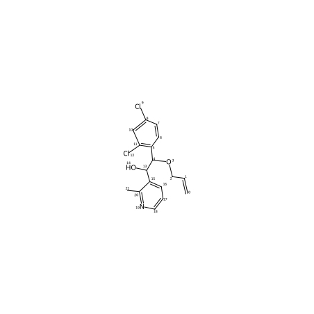 C=CCOC(c1ccc(Cl)cc1Cl)C(O)c1cccnc1C